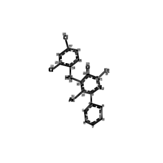 CCn1nc(-c2ccccc2)c(C(C)=O)c(Nc2ccc(Cl)cc2Cl)c1=O